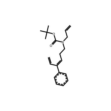 C=CCN(CC/C=C(\C=C)c1ccccc1)C(=O)OC(C)(C)C